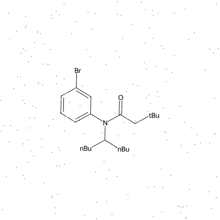 CCCCC(CCCC)N(C(=O)CC(C)(C)C)c1cccc(Br)c1